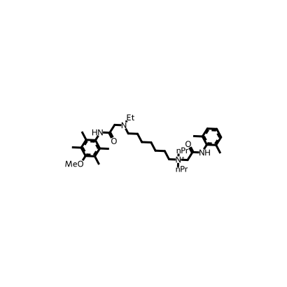 CCC[N+](CCC)(CCCCCCCN(CC)CC(=O)Nc1c(C)c(C)c(OC)c(C)c1C)CC(=O)Nc1c(C)cccc1C